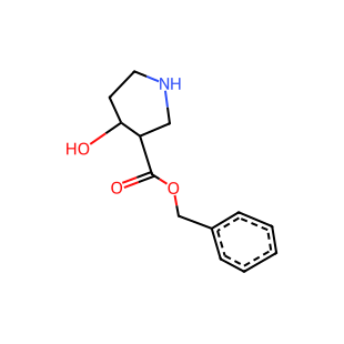 O=C(OCc1ccccc1)C1CNCCC1O